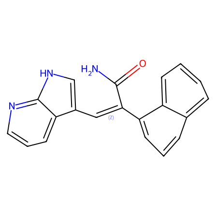 NC(=O)/C(=C\c1c[nH]c2ncccc12)c1cccc2ccccc12